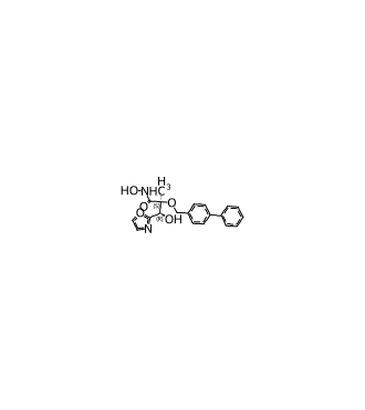 C[C@@](OCc1ccc(-c2ccccc2)cc1)(C(=O)NO)[C@@H](O)c1ncco1